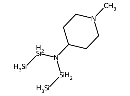 CN1CCC(N([SiH2][SiH3])[SiH2][SiH3])CC1